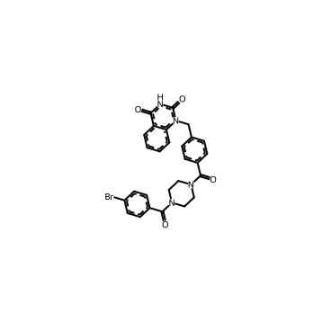 O=C(c1ccc(Br)cc1)N1CCN(C(=O)c2ccc(Cn3c(=O)[nH]c(=O)c4ccccc43)cc2)CC1